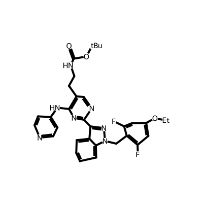 CCOc1cc(F)c(Cn2nc(-c3ncc(CCNC(=O)OC(C)(C)C)c(Nc4ccncc4)n3)c3ccccc32)c(F)c1